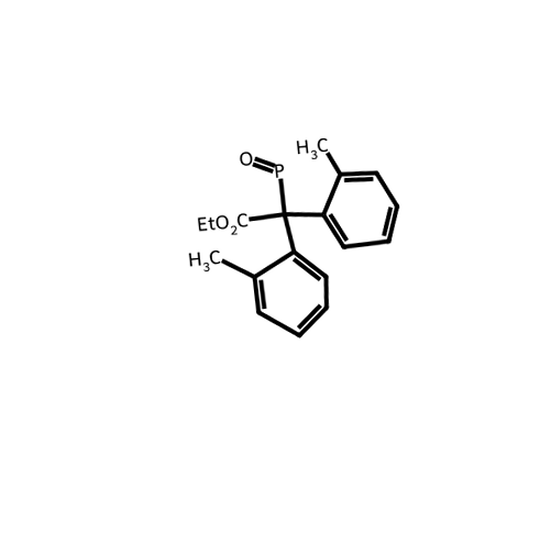 CCOC(=O)C(P=O)(c1ccccc1C)c1ccccc1C